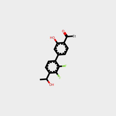 CCC(=O)c1ccc(-c2ccc(C(C)O)c(F)c2F)cc1O